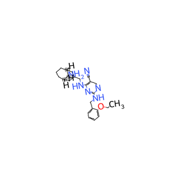 CCOc1ccccc1CNc1ncc(C#N)c(NCC2C[C@H]3CCC[C@@H](C2)[C@@H]3N)n1